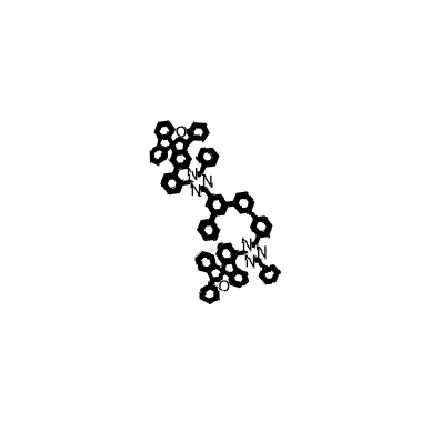 c1ccc(-c2cc(-c3cccc(-c4cccc(-c5nc(-c6ccccc6)nc(-c6cccc7c6-c6ccccc6C76c7ccccc7-c7c6oc6ccccc76)n5)c4)c3)cc(-c3nc(-c4ccccc4)nc(-c4ccccc4-c4ccc5c(c4)C4(c6ccccc6-c6ccccc64)c4oc6ccccc6c4-5)n3)c2)cc1